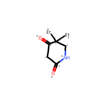 CCC1(CC)CNC(=O)CC1=O